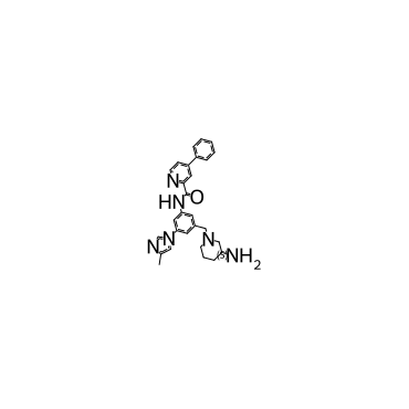 Cc1cn(-c2cc(CN3CCC[C@H](N)C3)cc(NC(=O)c3cc(-c4ccccc4)ccn3)c2)cn1